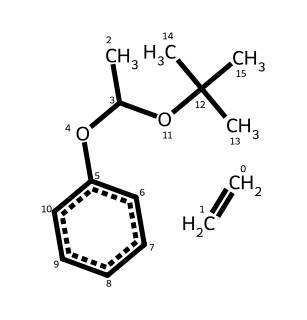 C=C.CC(Oc1ccccc1)OC(C)(C)C